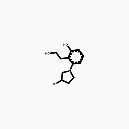 OCCc1c(O)cccc1N1CCC(O)C1